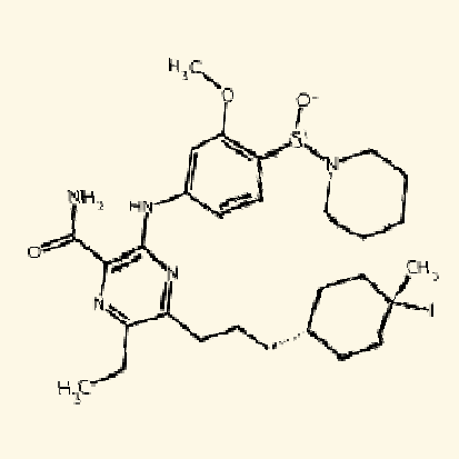 CCc1nc(C(N)=O)c(Nc2ccc([S+]([O-])N3CCCCC3)c(OC)c2)nc1CCC[C@H]1CC[C@@](C)(I)CC1